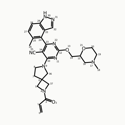 C=CC(=O)N1CC2(CCN(c3nc(OCC4CN(C)CCO4)nc(-c4c(C)ccc5[nH]ncc45)c3C#N)C2)C1